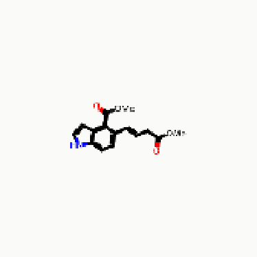 COC(=O)C/C=C/c1ccc2[nH]ccc2c1C(=O)OC